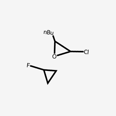 CCCCC1OC1Cl.FC1CC1